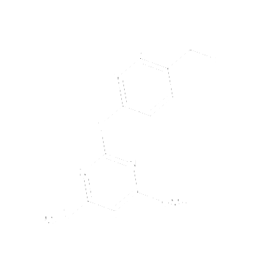 COc1cc(OC)nc(Sc2ccc(CCl)cc2)n1